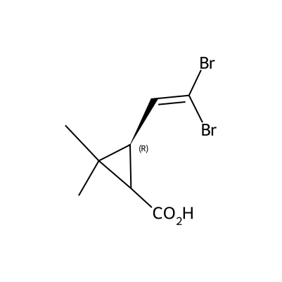 CC1(C)C(C(=O)O)[C@@H]1C=C(Br)Br